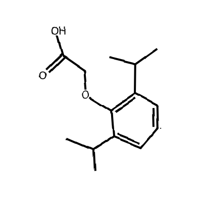 CC(C)c1c[c]cc(C(C)C)c1OCC(=O)O